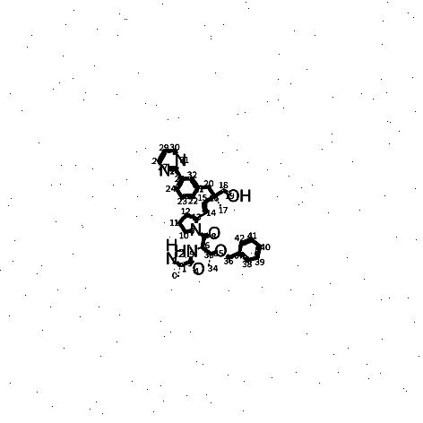 C[C@H](N)C(=O)N[C@H](C(=O)N1CCC[C@H]1/C=C/[C@](C)(CO)Cc1cccc(-c2ncccn2)c1)[C@@H](C)OCc1ccccc1